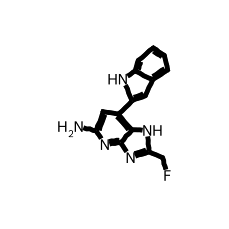 Nc1cc(-c2cc3ccccc3[nH]2)c2[nH]c(CF)nc2n1